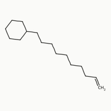 C=CCCCCCCCCC1CCCCC1